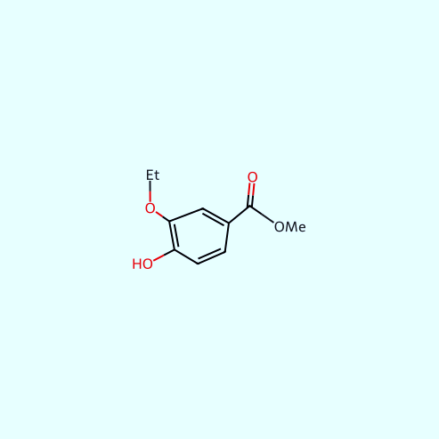 CCOc1cc(C(=O)OC)ccc1O